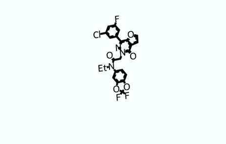 CCN(C(=O)Cn1nc(-c2cc(F)cc(Cl)c2)c2occc2c1=O)c1ccc2c(c1)OC(F)(F)O2